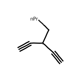 C#C[C](C#C)CCCC